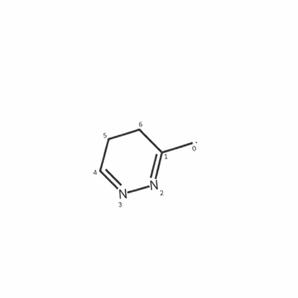 [CH2]C1=NN=CCC1